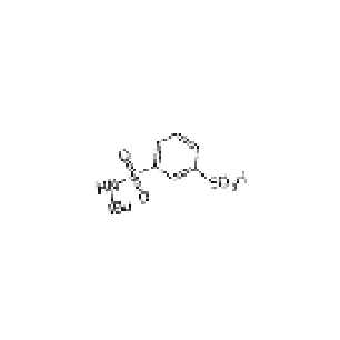 CC(C)(C)NS(=O)(=O)c1cccc(S(=O)(=O)O)c1